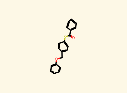 O=C(Sc1ccc(COc2ccccc2)cc1)c1ccccc1